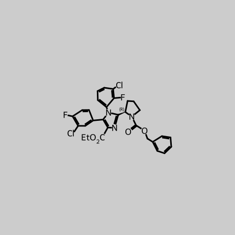 CCOC(=O)c1nc([C@H]2CCCN2C(=O)OCc2ccccc2)n(-c2cccc(Cl)c2F)c1-c1ccc(F)c(Cl)c1